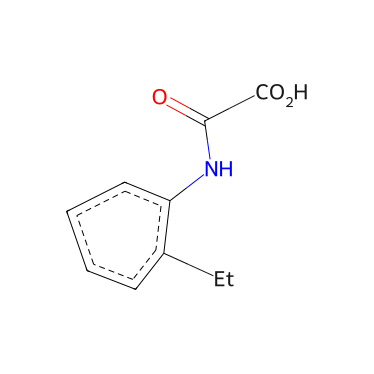 CCc1ccccc1NC(=O)C(=O)O